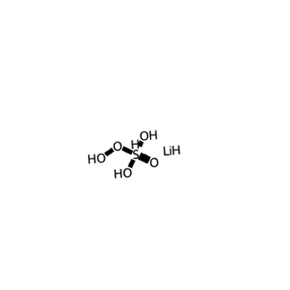 O=[SH](O)(O)OO.[LiH]